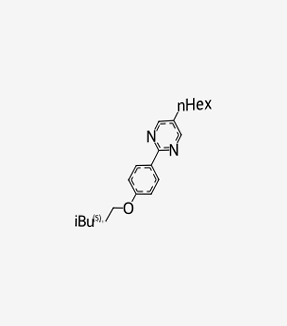 CCCCCCc1cnc(-c2ccc(OCC[C@@H](C)CC)cc2)nc1